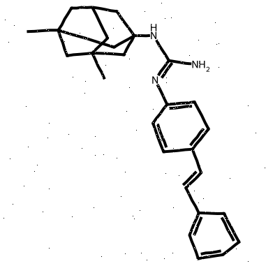 CC12CC3CC(C)(C1)CC(NC(N)=Nc1ccc(C=Cc4ccccc4)cc1)(C3)C2